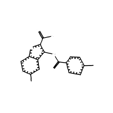 Cc1ccc(C(=O)Nc2c(C(N)=O)oc3ccc(Cl)cc23)cc1